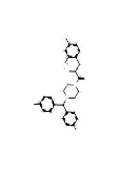 NC(Cc1ccc(Cl)cc1Cl)C(=O)N1CCN(C(c2ccc(F)cc2)c2ccc(F)cc2)CC1